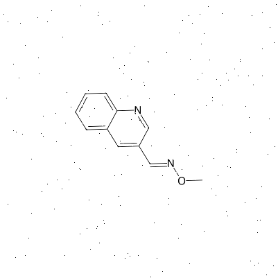 CO/N=C/c1cnc2ccccc2c1